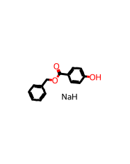 O=C(OCc1ccccc1)c1ccc(O)cc1.[NaH]